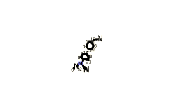 CN(C)/C=C(\C#N)c1ccc([C@H]2CC[C@H](CC#N)CC2)cc1